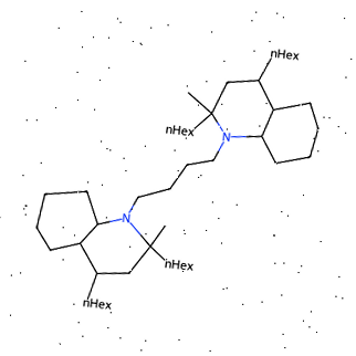 CCCCCCC1CC(C)(CCCCCC)N(CCCCN2C3CCCCC3C(CCCCCC)CC2(C)CCCCCC)C2CCCCC12